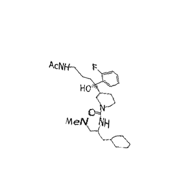 CNCC(CC1CCCCC1)NC(=O)N1CCCC([C@@](O)(CCCNC(C)=O)c2ccccc2F)C1